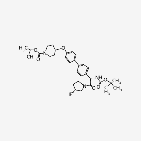 CC(C)OC(=O)N1CCC(Oc2ccc(-c3ccc([C@H](NC(=O)OC(C)(C)C)C(=O)N4CC[C@H](F)C4)cc3)cc2)CC1